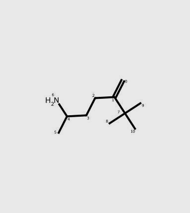 C=C(CCC(C)N)C(C)(C)C